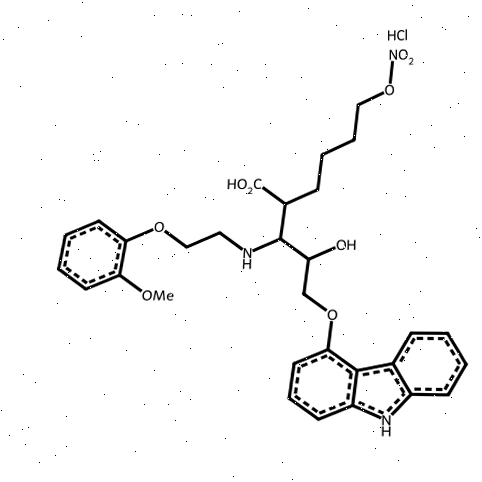 COc1ccccc1OCCNC(C(O)COc1cccc2[nH]c3ccccc3c12)C(CCCCO[N+](=O)[O-])C(=O)O.Cl